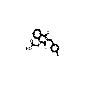 Cc1ccc(Cn2c(=O)c3ccccc3n(CC(=O)O)c2=O)cc1